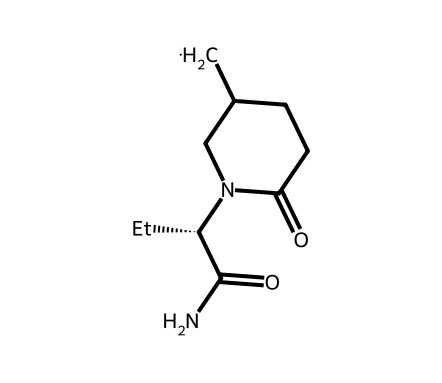 [CH2]C1CCC(=O)N([C@@H](CC)C(N)=O)C1